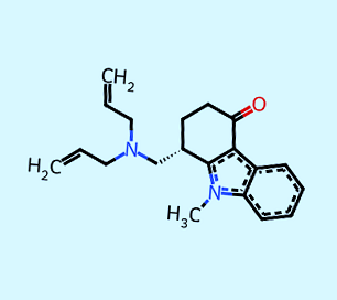 C=CCN(CC=C)C[C@@H]1CCC(=O)c2c1n(C)c1ccccc21